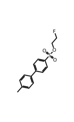 Cc1ccc(-c2ccc(S(=O)(=O)OCCF)cc2)cc1